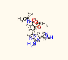 C[C@@H](C1CC1)N1Cc2cc(-c3cnc4c(N)nc(-c5cn[nH]c5)cn34)cc(S(C)(=O)=O)c2C1=O